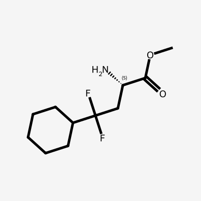 COC(=O)[C@@H](N)CC(F)(F)C1CCCCC1